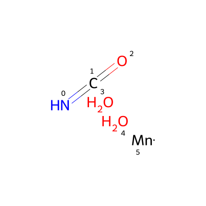 N=C=O.O.O.[Mn]